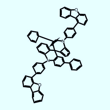 c1ccc(-c2ccc3c(c2)C2(c4ccccc4N3c3ccc(-c4cccc5c4oc4ccccc45)cc3)c3ccccc3N(c3ccc(-c4cccc5oc6ccccc6c45)cc3)c3ccc(-c4ccccc4)cc32)cc1